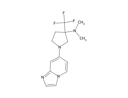 CN(C)C1(C(F)(F)F)CCN(c2ccn3ccnc3c2)C1